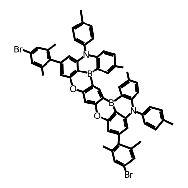 Cc1ccc(N2c3ccc(C)cc3B3c4cc5c(cc4Oc4cc(-c6c(C)cc(Br)cc6C)cc2c43)Oc2cc(-c3c(C)cc(Br)cc3C)cc3c2B5c2cc(C)ccc2N3c2ccc(C)cc2)cc1